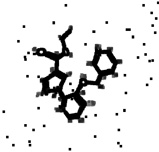 CCOC(=O)c1cnn(-c2ncccc2OCc2cccnc2)c1